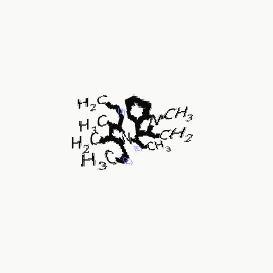 C=C/C=C\c1c(C)c(C=C)c(/C=C\C)n1/C(=C/C)c1c(C=C)n(C)c2ccccc12